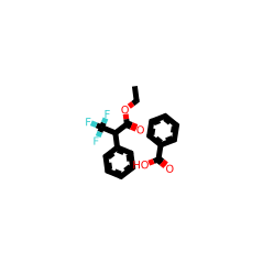 CCOC(=O)C(c1ccccc1)C(F)(F)F.O=C(O)c1ccccc1